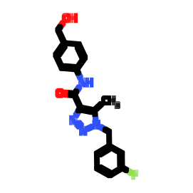 Cc1c(C(=O)Nc2ccc(CO)cc2)nnn1Cc1cccc(F)c1